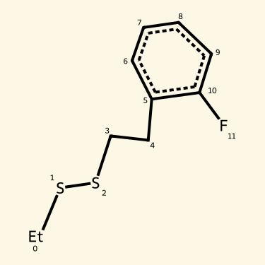 CCSSCCc1ccccc1F